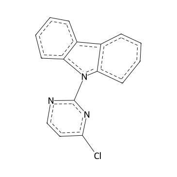 Clc1ccnc(-n2c3ccccc3c3ccccc32)n1